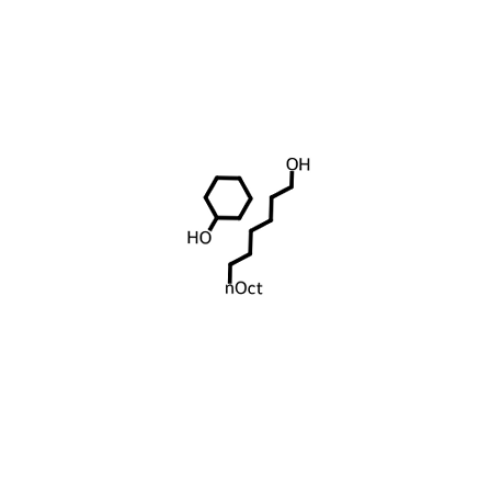 CCCCCCCCCCCCCCO.OC1CCCCC1